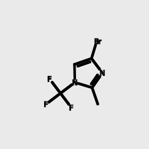 Cc1nc(Br)cn1C(F)(F)F